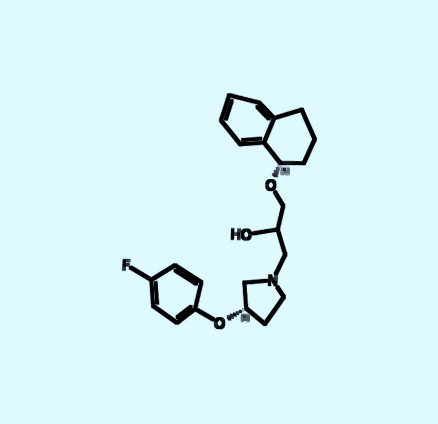 OC(CO[C@H]1CCCc2ccccc21)CN1CC[C@H](Oc2ccc(F)cc2)C1